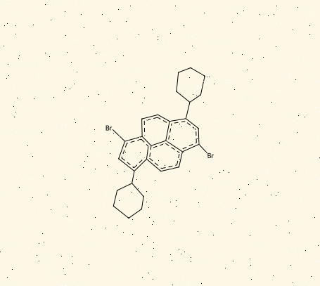 Brc1cc(C2CCCCC2)c2ccc3c(Br)cc(C4CCCCC4)c4ccc1c2c34